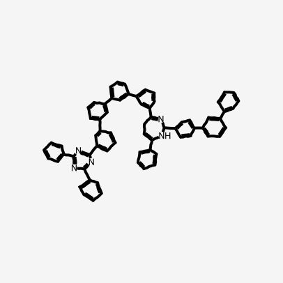 C1=C(c2ccccc2)NC(c2ccc(-c3cccc(-c4ccccc4)c3)cc2)N=C(c2cccc(-c3cccc(-c4cccc(-c5cccc(-c6nc(-c7ccccc7)nc(-c7ccccc7)n6)c5)c4)c3)c2)C1